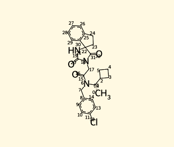 C[C@@H](C1CCC1)N(Cc1ccc(Cl)cc1)C(=O)CN1C(=O)NC2(CCc3ccccc32)C1=O